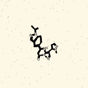 CC(C)n1ncc2cc(-c3cc(=O)n4ncc(-c5ccnn5C)c4[nH]3)ccc21